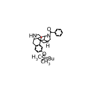 CC(C)(C)[Si](C)(C)Oc1ccc2c(c1)C13CCNC(C2)C12CCC1C3[C@@H](CN1C(=O)c1ccccc1)C2